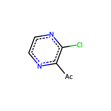 CC(=O)c1nccnc1Cl